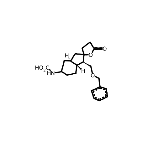 O=C(O)NC1CC[C@@H]2[C@@H](C1)CC1(CCC(=O)O1)[C@H]2COCc1ccccc1